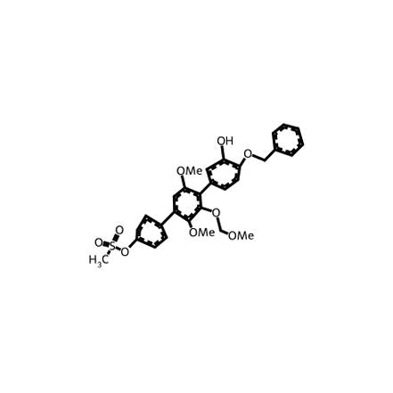 COCOc1c(OC)c(-c2ccc(OS(C)(=O)=O)cc2)cc(OC)c1-c1ccc(OCc2ccccc2)c(O)c1